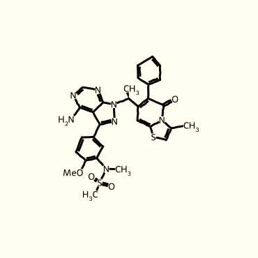 COc1ccc(-c2nn([C@@H](C)c3cc4scc(C)n4c(=O)c3-c3ccccc3)c3ncnc(N)c23)cc1N(C)S(C)(=O)=O